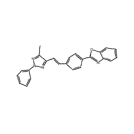 Cc1nn(-c2ccccc2)nc1C=Cc1ccc(-c2nc3ccccc3o2)cc1